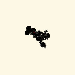 CSCC[C@H](NC(=O)c1cc(NC(C(=O)OC(C)(C)C)C2CC(SC(c3ccccc3)(c3ccccc3)c3ccccc3)CN2)ccc1CCc1ccc(F)cc1)C(O)c1ccccn1